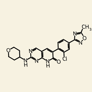 Cc1nc(-c2ccc(-c3cc4cnc(NC5CCOCC5)nc4[nH]c3=O)c(Cl)c2)no1